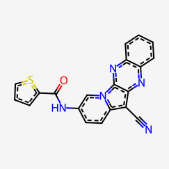 N#Cc1c2nc3ccccc3nc2n2cc(NC(=O)c3cccs3)ccc12